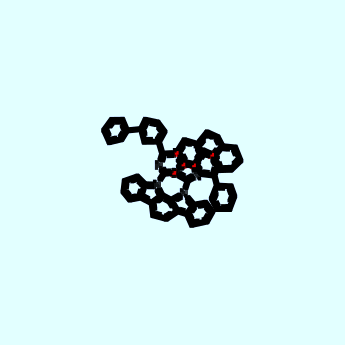 c1ccc(-c2cccc(-c3nc(-c4cccc(-c5ccccc5)c4)nc(-n4c5ccccc5c5ccc6c7ccccc7n(-c7nc8c(ccc9ccc%10ccccc%10c98)o7)c6c54)n3)c2)cc1